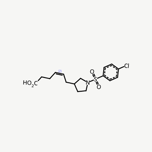 O=C(O)CC/C=C\CC1CCN(S(=O)(=O)c2ccc(Cl)cc2)C1